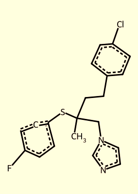 CC(CCc1ccc(Cl)cc1)(Cn1ccnc1)Sc1ccc(F)cc1